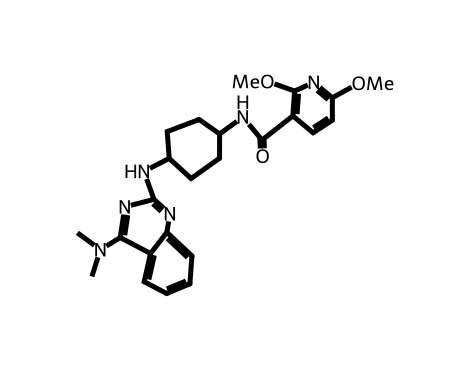 COc1ccc(C(=O)NC2CCC(Nc3nc(N(C)C)c4ccccc4n3)CC2)c(OC)n1